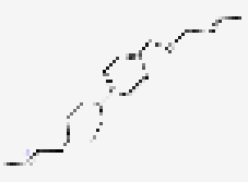 CC=CCOCc1ccc(C2CCC(C/C=C/C)CC2)cc1